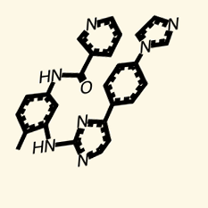 Cc1ccc(NC(=O)c2cccnc2)cc1Nc1nccc(-c2ccc(-n3ccnc3)cc2)n1